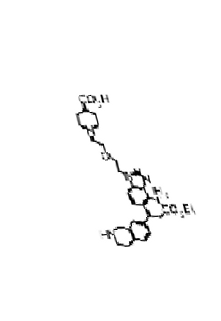 CCOC(=O)CC(c1ccc2c(c1)CNCC2)c1ccc2c(nnn2CCOCCN2CCC(C(=O)O)CC2)c1C